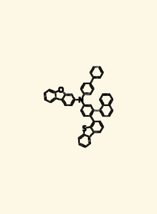 c1ccc(-c2ccc(N(c3ccc(-c4cccc5c4sc4ccccc45)c(-c4cccc5ccccc45)c3)c3ccc4c(c3)oc3ccccc34)cc2)cc1